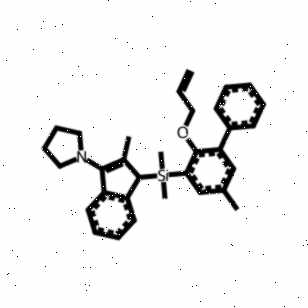 C=CCOc1c(-c2ccccc2)cc(C)cc1[Si](C)(C)C1C(C)=C(N2CCCC2)c2ccccc21